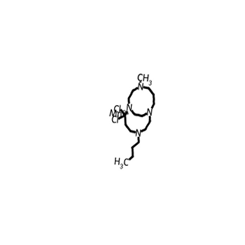 CCCCN1CCN2CCCN(C)CCN(CC2)C(Cl)(Cl)CC1.[Mn+2]